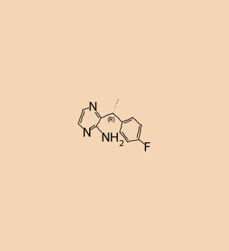 C[C@H](c1ccc(F)cc1)c1nccnc1N